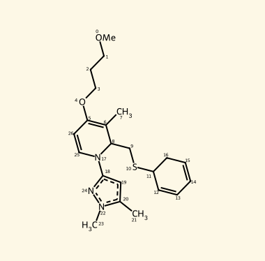 COCCCOC1=C(C)C(CSC2C=CC=CC2)N(c2cc(C)n(C)n2)C=C1